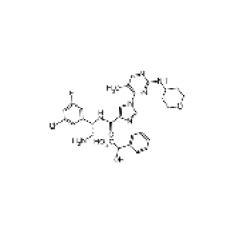 Cc1cnc(NC2CCOCC2)nc1-n1cnc(C(=O)N[C@H](CN)c2cc(F)cc(Cl)c2)c1.O=C(O)C(O)c1ccccc1